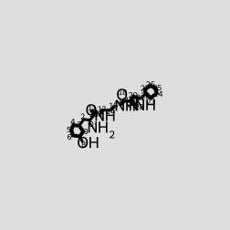 N[C@@H](Cc1cccc(O)c1)C(=O)NCCCNC(=O)c1cc(-c2ccccc2)[nH]n1